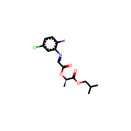 CC(C)COC(=O)[C@@H](C)OC(=O)C=Nc1cc(Cl)ccc1I